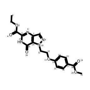 CCOC(=O)c1nc2cnn(CCOc3ccc(C(=O)OC)cc3)c2c(=O)[nH]1